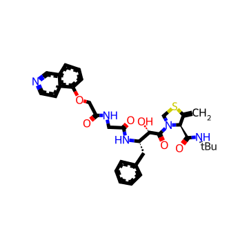 C=C1SCN(C(=O)[C@@H](O)[C@H](Cc2ccccc2)NC(=O)CNC(=O)COc2cccc3cnccc23)[C@@H]1C(=O)NC(C)(C)C